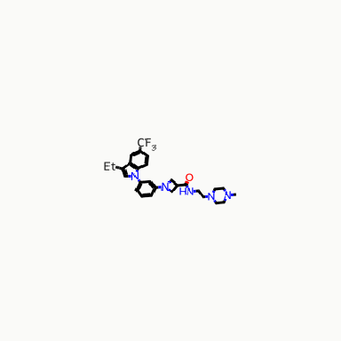 CCc1cn(-c2cccc(N3CC(C(=O)NCCN4CCN(C)CC4)C3)c2)c2ccc(C(F)(F)F)cc12